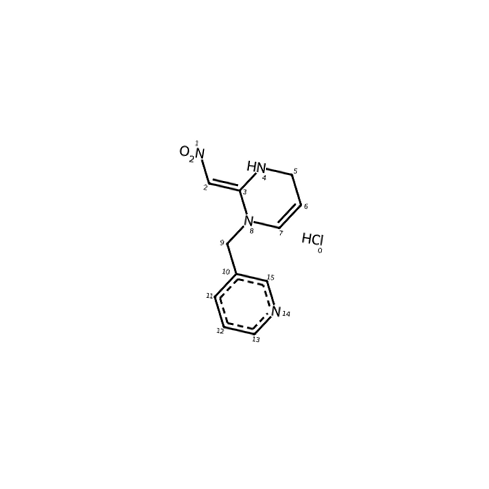 Cl.O=[N+]([O-])C=C1NCC=CN1Cc1cccnc1